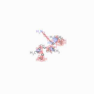 C=C1C[C@H]2[C@H](O)N(C(=O)OCc3ccc(O[C@@H]4O[C@H](C(=O)O)[C@@H](O)[C@H](O)[C@H]4O)cc3)c3cc(OCCCCCOc4cc5c(cc4OC)C(=O)N4CC(=C)C[C@H]4[C@H](O)N5C(=O)OCc4ccc(NC(=O)[C@H](CO[C@@H]5O[C@H](C(=O)O)[C@@H](O)[C@H](O)[C@H]5O)NC(=O)[C@@H](NC(C)=O)C(C)C)cc4NC(=O)CCOCCOCCOCCOCCN)c(OC)cc3C(=O)N2C1